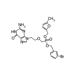 Cc1ccc(COP(=O)(COCCn2cnc3c(=O)[nH]c(N)nc32)OCc2cccc(Br)c2)o1